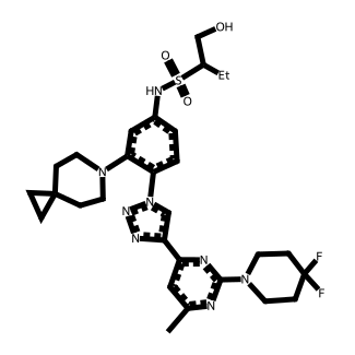 CCC(CO)S(=O)(=O)Nc1ccc(-n2cc(-c3cc(C)nc(N4CCC(F)(F)CC4)n3)nn2)c(N2CCC3(CC2)CC3)c1